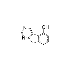 Oc1cccc2c1-c1cncnc1C2